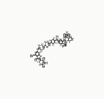 CN(c1ncccc1CNc1nc(Nc2ccc(N3CCC(N4CCN(Cc5cc(Br)c6c(c5)CN(C5CCC(=O)NC5=O)C6=O)CC4)CC3)cc2)ncc1C(F)(F)F)S(C)(=O)=O